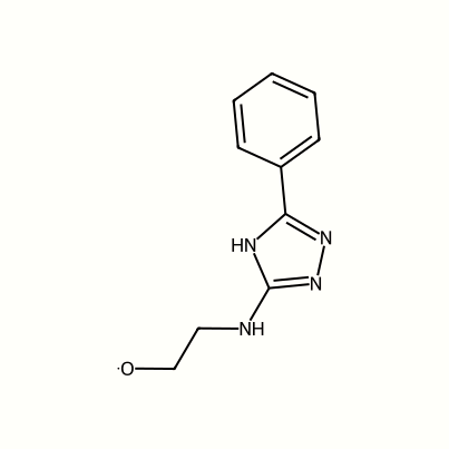 [O]CCNc1nnc(-c2ccccc2)[nH]1